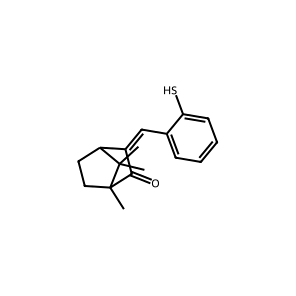 CC12CCC(/C(=C/c3ccccc3S)C1=O)C2(C)C